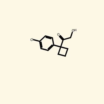 O=C(CO)C1(c2ccc(Cl)cc2)CCC1